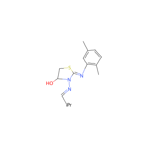 Cc1ccc(C)c(/N=C2\SCC(O)N2/N=C/C(C)C)c1